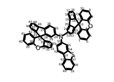 c1ccc2c(c1)Oc1ccccc1C21c2ccccc2-c2cc(N(c3ccc4c(c3)C3(c5ccccc5Oc5ccccc53)c3ccccc3-4)c3ccc4c(c3)sc3ccccc34)ccc21